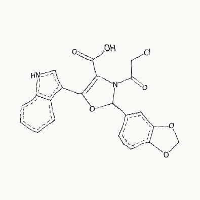 O=C(O)C1=C(c2c[nH]c3ccccc23)OC(c2ccc3c(c2)OCO3)N1C(=O)CCl